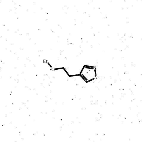 CCOCCC1=C[N]N=C1